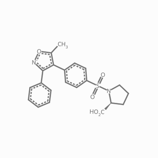 Cc1onc(-c2ccccc2)c1-c1ccc(S(=O)(=O)N2CCC[C@H]2C(=O)O)cc1